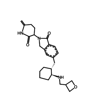 C=C1CCC(N2Cc3cc(C[C@H]4CCCC[C@@H]4NCC4COC4)ccc3C2=O)C(=O)N1